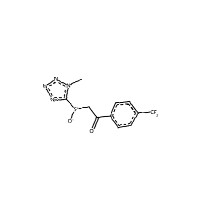 Cn1nnnc1[S+]([O-])CC(=O)c1ccc(C(F)(F)F)cc1